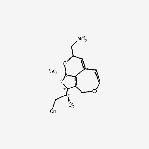 Cl.NCC1C=C2C=COCC3=C2B(O1)O[C@@H]3[C@@H](O)CO